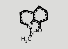 C=[n+]1oc2cccc3ccc[n+]1c32